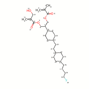 C=C(C)C(=O)OCC(COC(=O)C(=C)CO)C1CCC(CCC2CCC(CCCCF)CC2)CC1